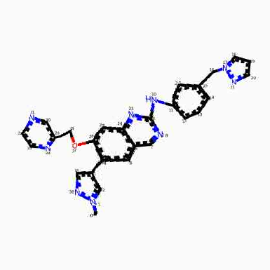 Cn1cc(-c2cc3cnc(Nc4cccc(Cn5cccn5)c4)nc3cc2OCc2cnccn2)cn1